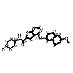 COc1ccc2cc(Nc3ncnc4sc(C(=O)NC5CCN(C)CC5)cc34)ccc2c1